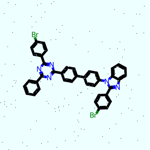 Brc1ccc(-c2nc(-c3ccccc3)nc(-c3ccc(-c4ccc(-n5c(-c6ccc(Br)cc6)nc6ccccc65)cc4)cc3)n2)cc1